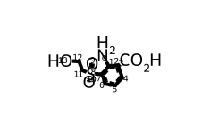 Nc1c(C(=O)O)cccc1S(=O)(=O)CCO